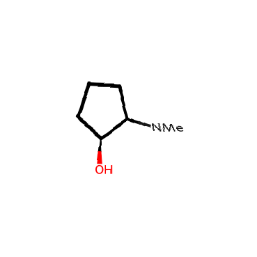 CNC1CCC[C@@H]1O